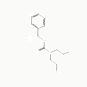 CC(C)CCN(CCO)C(=O)N[C@H](C(=O)O)c1ccccc1